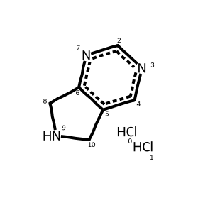 Cl.Cl.c1ncc2c(n1)CNC2